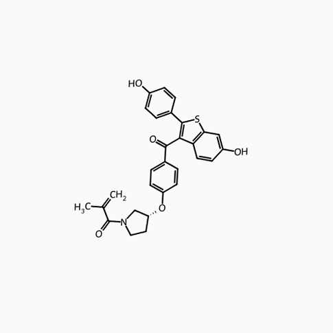 C=C(C)C(=O)N1CC[C@@H](Oc2ccc(C(=O)c3c(-c4ccc(O)cc4)sc4cc(O)ccc34)cc2)C1